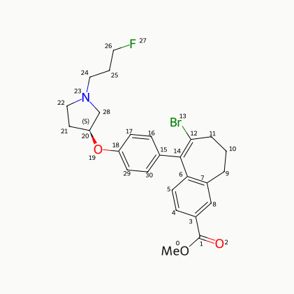 COC(=O)c1ccc2c(c1)CCCC(Br)=C2c1ccc(O[C@H]2CCN(CCCF)C2)cc1